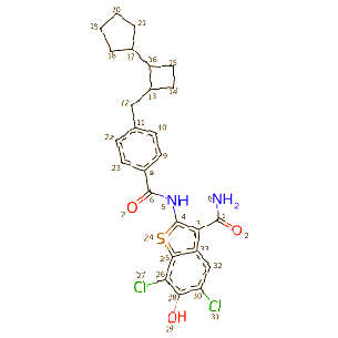 NC(=O)c1c(NC(=O)c2ccc(CC3CCC3C3CCCC3)cc2)sc2c(Cl)c(O)c(Cl)cc12